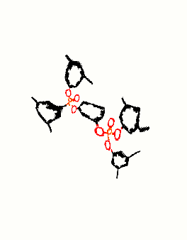 Cc1cc(C)cc(OP(=O)(Oc2cc(C)cc(C)c2)Oc2cccc(OP(=O)(Oc3cc(C)cc(C)c3)c3cc(C)cc(C)c3)c2)c1